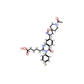 CC(=O)N1CCC2(CC1)CC(c1ccc3c(=O)n(-c4ccc(F)cc4)c(CCCCC(=O)O)nc3c1)=NO2